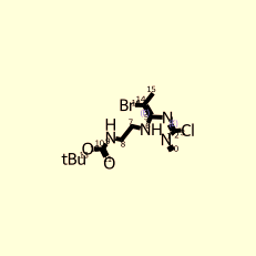 C=N/C(Cl)=N\C(NCCNC(=O)OC(C)(C)C)=C(/C)Br